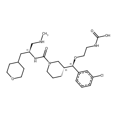 CNC[C@H](CC1CCOCC1)NC(=O)N1CCC[C@@H]([C@@H](OCCNC(=O)O)c2cccc(Cl)c2)C1